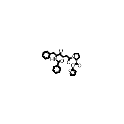 O=C(NC(Cc1ccccc1)C(=O)CCC(=O)N1CCC[C@H]1C(=O)Oc1cccs1)c1ccccc1